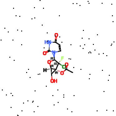 CC(=O)O[C@]12C(O)[C@H]1O[C@@H](n1ccc(=O)[nH]c1=O)[C@@]2(F)Cl